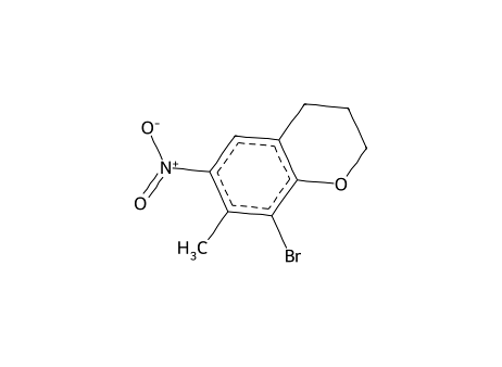 Cc1c([N+](=O)[O-])cc2c(c1Br)OCCC2